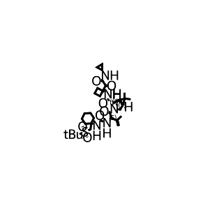 C=C(C)[C@H](NC(=O)NC1(CS(=O)(=O)C(C)(C)C)CCCCC1)C(=O)N1C[C@H]2[C@@H]([C@H]1C(=O)NC1(C(=O)C(=O)NC3CC3)CCC1)C2(C)C